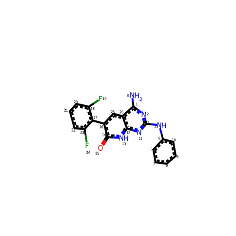 Nc1nc(Nc2ccccc2)nc2[nH]c(=O)c(-c3c(F)cccc3F)cc12